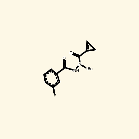 CC(C)(C)N(NC(=O)c1cccc(F)c1)C(=O)C1=CC1